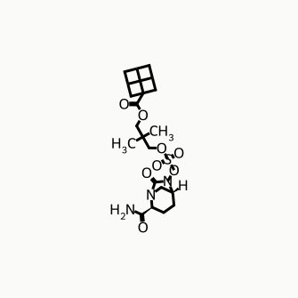 CC(C)(COC(=O)C12CC3CC4CC(C1)C432)COS(=O)(=O)ON1C(=O)N2C[C@H]1CC[C@H]2C(N)=O